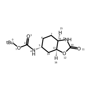 CC(C)(C)OC(=O)N[C@@H]1CC[C@H]2NC(=O)O[C@H]2C1